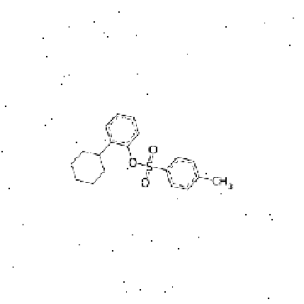 Cc1ccc(S(=O)(=O)Oc2ccccc2C2CCCCC2)cc1